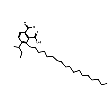 CCCCCCCCCCCCCCCCCCc1c(C(C)CC)ccc(C(=O)O)c1C(=O)O